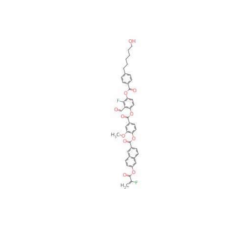 C=C(F)C(=O)Oc1ccc2cc(C(=O)Oc3ccc(C(=O)Oc4ccc(OC(=O)c5ccc(CCCCCCO)cc5)c(F)c4C=O)cc3OC)ccc2c1